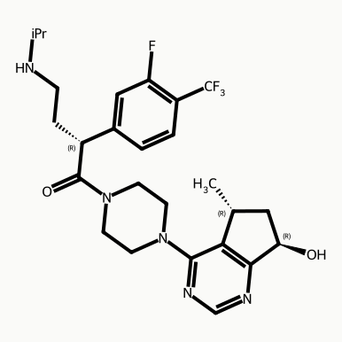 CC(C)NCC[C@@H](C(=O)N1CCN(c2ncnc3c2[C@H](C)C[C@H]3O)CC1)c1ccc(C(F)(F)F)c(F)c1